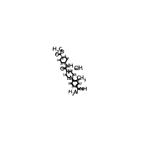 COC(=O)[C@H]1CC[C@H](NC(=O)N2CCN(c3ccc(C(=N)N)cc3C)CC2)CC1.Cl